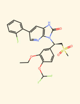 CCOc1cc([C@H](CS(C)(=O)=O)n2c(=O)[nH]c3cc(-c4ccccc4F)cnc32)ccc1OC(F)F